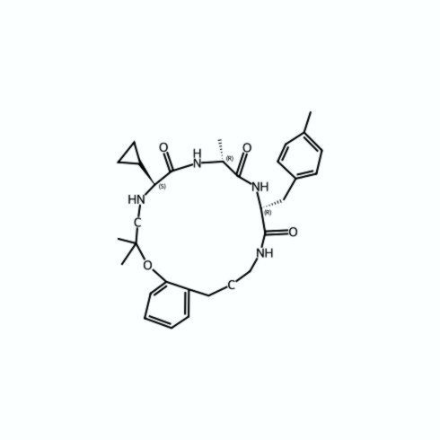 Cc1ccc(C[C@H]2NC(=O)[C@@H](C)NC(=O)[C@H](C3CC3)NCC(C)(C)Oc3ccccc3CCCNC2=O)cc1